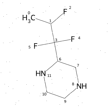 CC(F)C(F)(F)C1CNCCN1